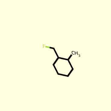 CC1CCCCC1CF